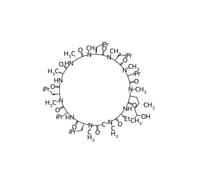 CC[C@@H]1NC(=O)C(C[C@H](C)CC(C)O)N(C)C(=O)C(C(C)C)N(C)C(=O)[C@H](CC(C)C)N(C)C(=O)[C@H](CC(C)C)N(C)C(=O)[C@@H](C)NC(=O)[C@H](C)NC(=O)[C@H](CC(C)C)N(C)C(=O)C(C(C)C)NC(=O)[C@H](CC(C)C)N(C)C(=O)CN(C)C1=O